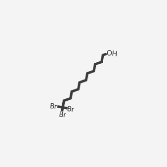 OCCCCCCCCCCCC(Br)(Br)Br